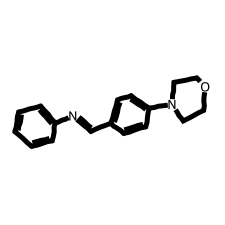 C(=Nc1ccccc1)c1ccc(N2CCOCC2)cc1